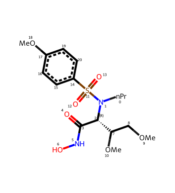 CCCN([C@@H](C(=O)NO)C(COC)OC)S(=O)(=O)c1ccc(OC)cc1